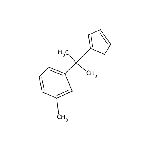 Cc1cccc(C(C)(C)C2=CC=CC2)c1